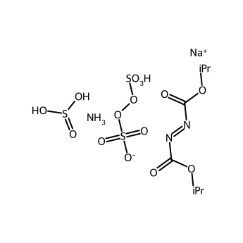 CC(C)OC(=O)N=NC(=O)OC(C)C.N.O=S(=O)([O-])OOS(=O)(=O)O.O=S(O)O.[Na+]